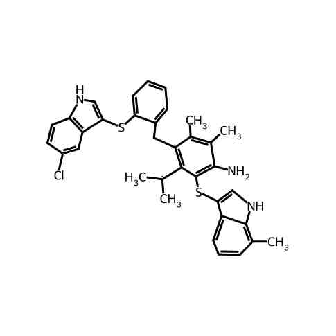 C[C](C)c1c(Cc2ccccc2Sc2c[nH]c3ccc(Cl)cc23)c(C)c(C)c(N)c1Sc1c[nH]c2c(C)cccc12